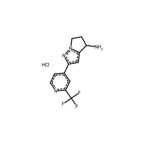 Cl.NC1CCn2nc(-c3ccnc(C(F)(F)F)c3)cc21